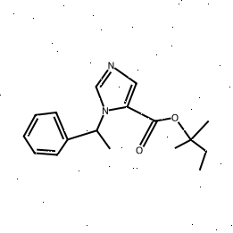 CCC(C)(C)OC(=O)c1cncn1C(C)c1ccccc1